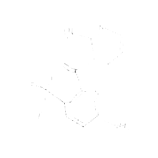 Nc1ccc(C(F)(F)F)c(C(=O)c2cccnc2N)n1